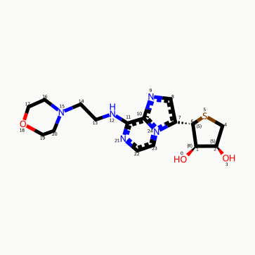 O[C@@H]1[C@H](O)CS[C@H]1c1cnc2c(NCCN3CCOCC3)nccn12